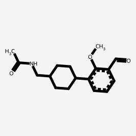 COc1c(C=O)cccc1C1CCC(CNC(C)=O)CC1